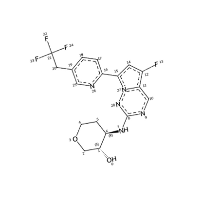 O[C@@H]1COCC[C@H]1Nc1ncc2c(F)cc(-c3ccc(CC(F)(F)F)cn3)n2n1